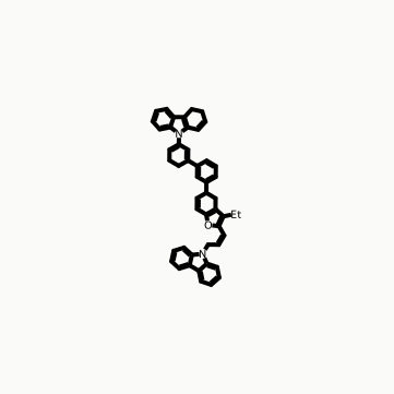 CCc1c(/C=C\Cn2c3ccccc3c3ccccc32)oc2c1CC(c1cccc(C3=CC(n4c5c(c6ccccc64)CCC=C5)=CCC3)c1)C=C2